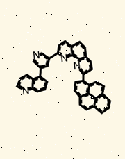 c1cc2ccc3ccc(-c4ccc5ccc6ccc(-c7cncc(-c8cccc9ncccc89)c7)nc6c5n4)c4ccc(c1)c2c34